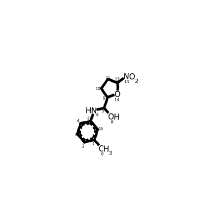 Cc1cccc(NC(O)C2CCC([N+](=O)[O-])O2)c1